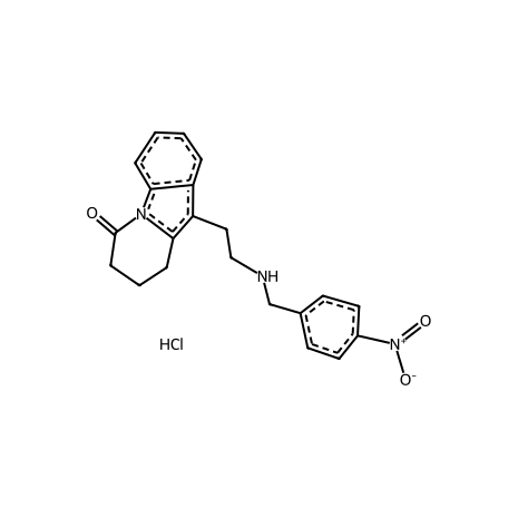 Cl.O=C1CCCc2c(CCNCc3ccc([N+](=O)[O-])cc3)c3ccccc3n21